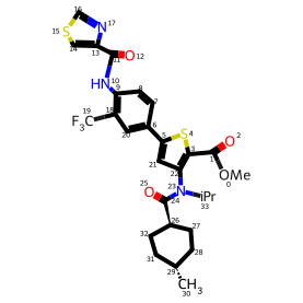 COC(=O)c1sc(-c2ccc(NC(=O)c3cscn3)c(C(F)(F)F)c2)cc1N(C(=O)[C@H]1CC[C@H](C)CC1)C(C)C